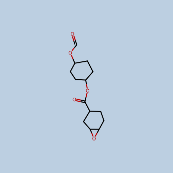 O=COC1CCC(OC(=O)C2CCC3OC3C2)CC1